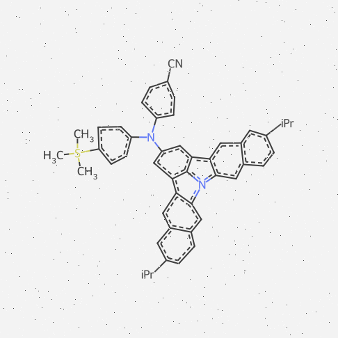 CC(C)c1ccc2cc3c(cc2c1)c1cc(N(c2ccc(C#N)cc2)c2ccc(S(C)(C)C)cc2)cc2c4cc5cc(C(C)C)ccc5cc4n3c12